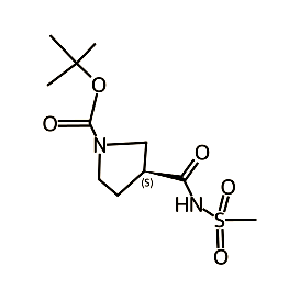 CC(C)(C)OC(=O)N1CC[C@H](C(=O)NS(C)(=O)=O)C1